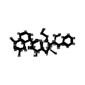 CCCO[C@@H]([C@H](C)OC(=O)[C@H](C)NC(=O)c1nccc(OC)c1OC(C)=O)[C@H](CC)Oc1ccccc1